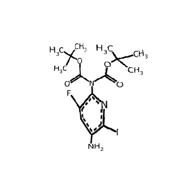 CC(C)(C)OC(=O)N(C(=O)OC(C)(C)C)c1nc(I)c(N)cc1F